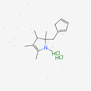 CC1=C(C)N(C)C(C)(CC2=CC=CC2)C1C.Cl.Cl